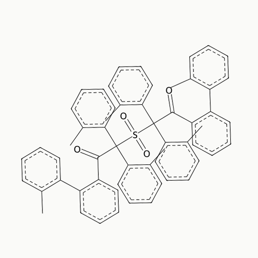 Cc1ccccc1-c1ccccc1C(=O)C(c1ccccc1C)(c1ccccc1C)S(=O)(=O)C(C(=O)c1ccccc1-c1ccccc1C)(c1ccccc1C)c1ccccc1C